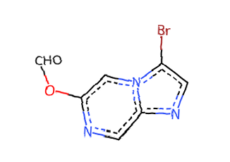 O=COc1cn2c(Br)cnc2cn1